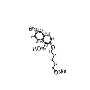 COCCCCCOc1ccc2cc(Br)ccc2c1CO